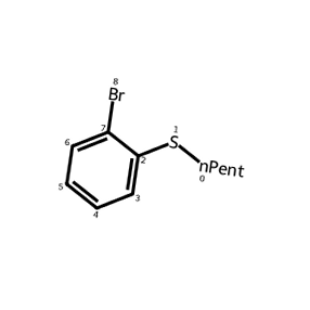 CCCCCSc1ccccc1Br